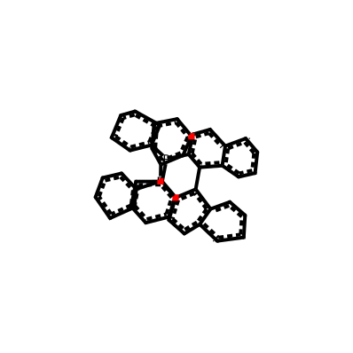 [c]1cccc2c(-c3c(P(c4ccccc4)c4ccccc4)ccc4[c]cccc34)c(P(c3ccccc3)c3ccccc3)ccc12